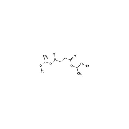 CCOC(C)OC(=O)CCC(=O)OC(C)OCC